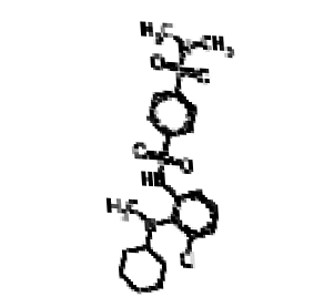 CN(c1c(Cl)cccc1NS(=O)(=O)c1ccc(S(=O)(=O)N(C)C)cc1)C1CCCCC1